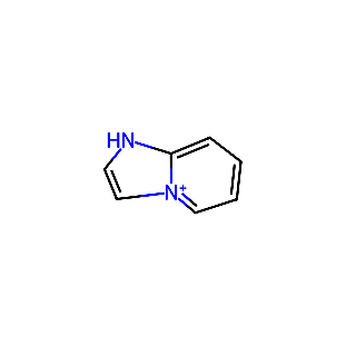 c1cc[n+]2cc[nH]c2c1